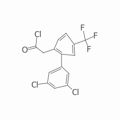 O=C(Cl)Cc1ccc(C(F)(F)F)cc1-c1cc(Cl)cc(Cl)c1